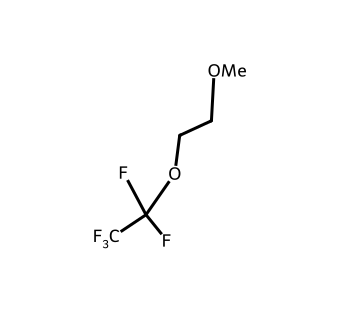 [CH2]OCCOC(F)(F)C(F)(F)F